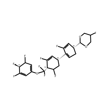 FC1=C[C@H](C2OCC(I)CO2)CC=C1[C@H]1C=C(F)[C@@H](C(F)(F)OC2=CC(F)[C@H](F)C(F)=C2)C(F)C1